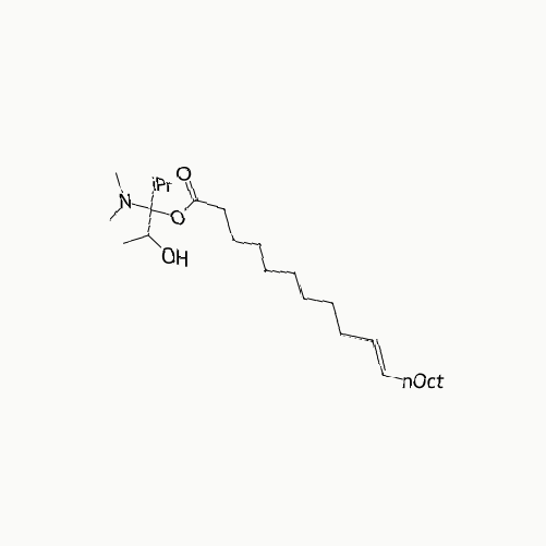 CCCCCCCCC=CCCCCCCCCC(=O)OC(C(C)C)(C(C)O)N(C)C